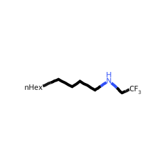 CCCCCCCCCCNCC(F)(F)F